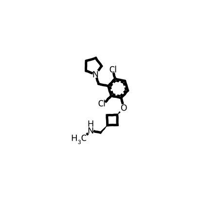 CNC[C@H]1C[C@H](Oc2ccc(Cl)c(CN3CCCC3)c2Cl)C1